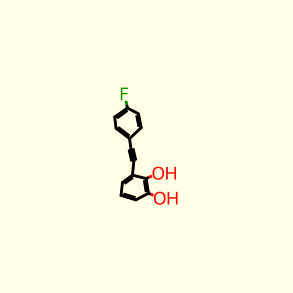 Oc1cccc(C#Cc2ccc(F)cc2)c1O